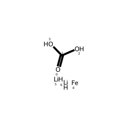 O=C(O)O.[Fe].[LiH].[LiH]